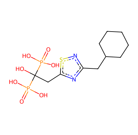 O=P(O)(O)C(O)(Cc1nc(CC2CCCCC2)ns1)P(=O)(O)O